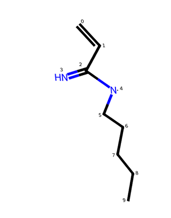 C=CC(=N)[N]CCCCC